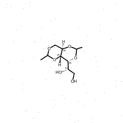 CC1OC[C@H]2OC(C)O[C@H]([C@@H](O)CO)[C@@H]2O1